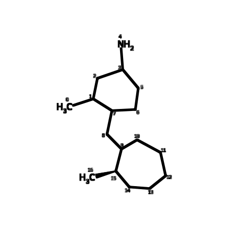 CC1CC(N)CCC1CC1CCCCC[C@H]1C